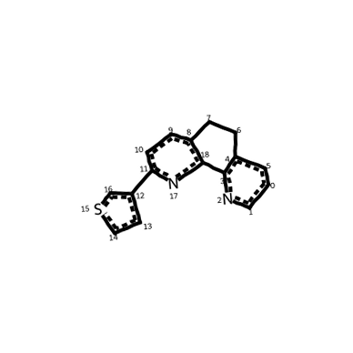 c1cnc2c(c1)CCc1ccc(-c3ccsc3)nc1-2